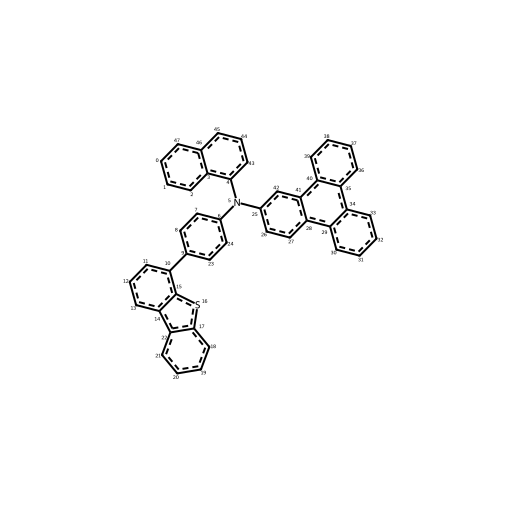 c1ccc2c(N(c3ccc(-c4cccc5c4sc4ccccc45)cc3)c3ccc4c5ccccc5c5ccccc5c4c3)cccc2c1